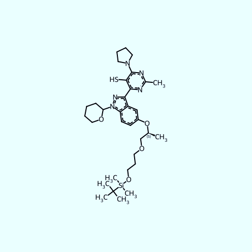 Cc1nc(-c2nn(C3CCCCO3)c3ccc(O[C@@H](C)COCCCO[Si](C)(C)C(C)(C)C)cc23)c(S)c(N2CCCC2)n1